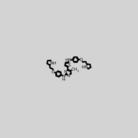 Cc1cnc(Nc2ccc(OCCC3CCCN3)cc2)nc1-c1ccc(Nc2ccc(OCCC3CCCN3)cc2)s1